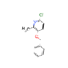 Cc1nc(Cl)ccc1OCc1ccccc1